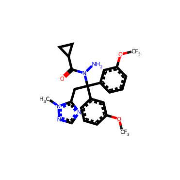 Cn1ncnc1CC(c1cccc(OC(F)(F)F)c1)(c1cccc(OC(F)(F)F)c1)N(N)C(=O)C1CC1